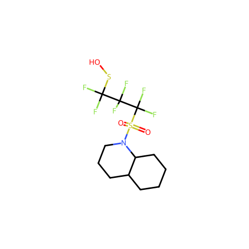 O=S(=O)(N1CCCC2CCCCC21)C(F)(F)C(F)(F)C(F)(F)SO